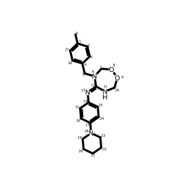 Cc1ccc(CN2COOCN/C2=N\c2ccc(N3CCCCC3)cc2)cc1